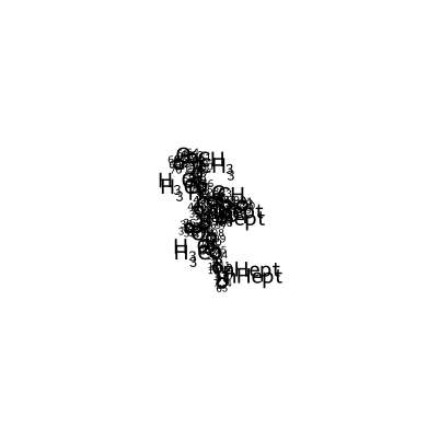 CCCCCCCC1(CCCCCCC)c2ccccc2-c2ccc(-c3ccc4c(c3)C(C)(C)c3cc(-c5cc6c(c7c5oc5ccccc57)-c5ccc(CC(c7ccc8c(c7)C(C)(C)c7cc9c(cc7-8)C(C)(C)c7ccc8oc%10ccccc%10c8c7-9)c7ccc8c(c7)C(C)(C)c7cc(-c9ccccc9)c9oc%10ccccc%10c9c7-8)cc5C6(CCCCCCC)CCCCCCC)ccc3-4)cc21